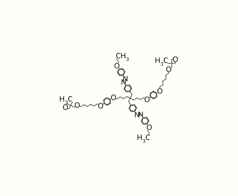 CCCOc1ccc(/N=N/c2ccc(CC(CCCCOc3ccc(OCCCCCCOCC4(CC)COC4)cc3)(CCCCOc3ccc(OCCCCCCOCC4(CC)COC4)cc3)Cc3ccc(/N=N/c4ccc(OCCC)cc4)cc3)cc2)cc1